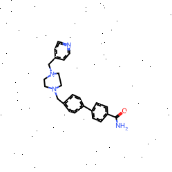 NC(=O)c1ccc(-c2ccc(CN3CCN(Cc4ccncc4)CC3)cc2)cc1